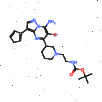 CC(C)(C)OC(=O)NCCN1CCCC(c2nc3c(C4=CCC=C4)cnn3c(N)c2Br)C1